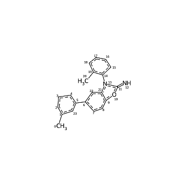 Cc1cccc(-c2ccc3oc(=N)n(-c4ccccc4C)c3c2)c1